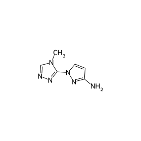 Cn1cnnc1-n1ccc(N)n1